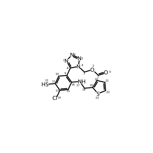 O=COCn1nnnc1-c1cc(S)c(Cl)cc1NCc1cccs1